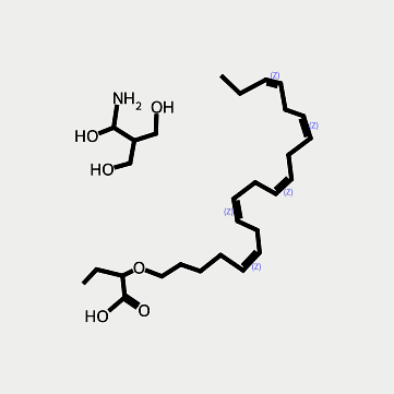 CC/C=C\C/C=C\C/C=C\C/C=C\C/C=C\CCCCOC(CC)C(=O)O.NC(O)C(CO)CO